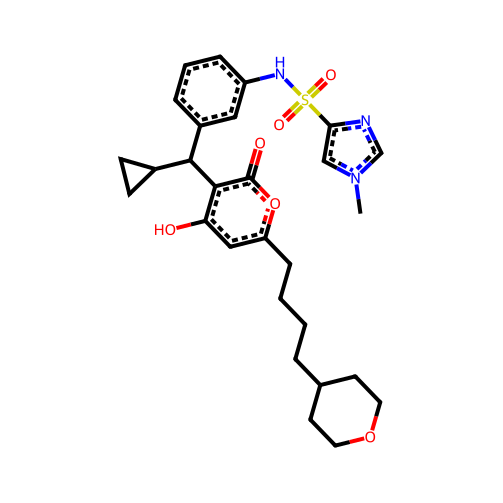 Cn1cnc(S(=O)(=O)Nc2cccc(C(c3c(O)cc(CCCCC4CCOCC4)oc3=O)C3CC3)c2)c1